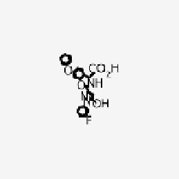 O=C(O)CC(NC(=O)c1cc(O)n(-c2cccc(F)c2)n1)c1ccc(Oc2ccccc2)cc1